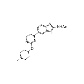 CC(=O)Nc1nc2ccc(-c3ccnc(OC4CCN(C)CC4)n3)cc2s1